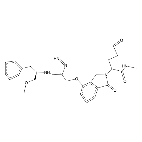 CNC(=O)C(CCC=O)N1Cc2c(OC/C(=C/N[C@@H](COC)Cc3ccccc3)N=N)cccc2C1=O